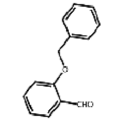 O=Cc1cc[c]cc1OCc1ccccc1